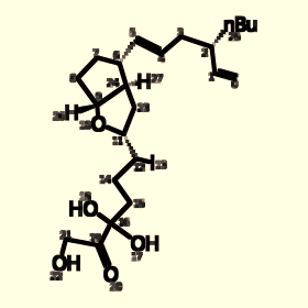 C=C[C@H](CC=C[C@H]1CC[C@H]2O[C@@H](C(I)CCC(O)(O)C(=O)CO)C[C@H]12)CCCC